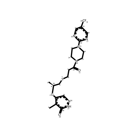 Cc1c(O[C@@H](C)CSCCC(=O)N2CCN(c3ncc(C(F)(F)F)cn3)CC2)cn[nH]c1=O